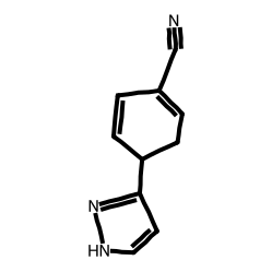 N#CC1=CCC(c2cc[nH]n2)C=C1